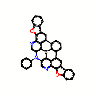 c1ccc(N2c3cnc4c5c(cc6c7ccccc7oc64)-c4cccc6c4B(c35)c3c2cnc2c3c-6cc3c4ccccc4oc32)cc1